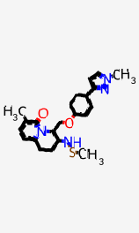 CSNC1CCc2ccc(C)c(=O)n2C1COC1CCC(c2ccn(C)n2)CC1